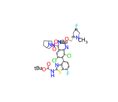 CN1C[C@H](F)C[C@H]1COc1nc(N2CC3CCC(C2)N3C(=O)OC(C)(C)C)c2cc(Cl)c(-c3ccc(F)c4sc(NC(=O)OC(C)(C)C)nc34)c(Cl)c2n1